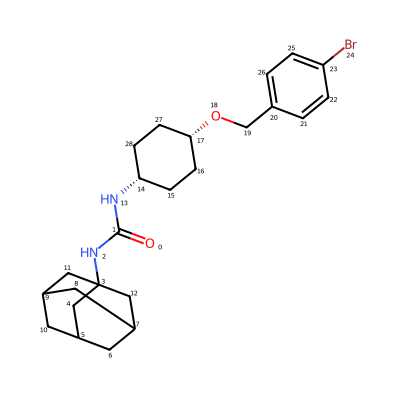 O=C(NC12CC3CC(CC(C3)C1)C2)N[C@H]1CC[C@@H](OCc2ccc(Br)cc2)CC1